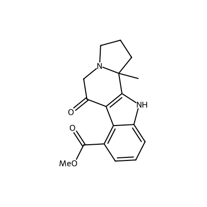 COC(=O)c1cccc2[nH]c3c(c12)C(=O)CN1CCCC31C